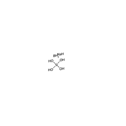 B.O[Si](O)(O)O.[NaH]